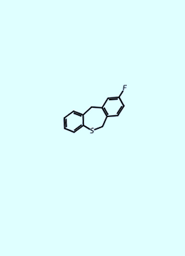 Fc1ccc2c(c1)Cc1ccccc1SC2